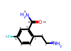 NC[CH]c1ccc(F)cc1C(N)=O